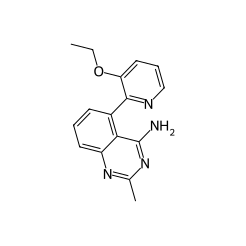 CCOc1cccnc1-c1cccc2nc(C)nc(N)c12